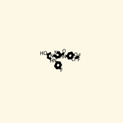 O=C(Nc1ccc(OC(F)(F)Cl)cc1)c1cnc(N2CCC(O)C2)c(Nc2ccc(F)cc2)c1